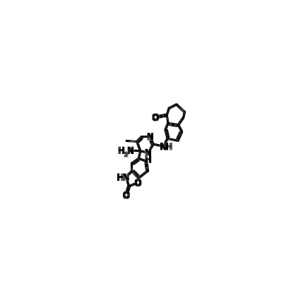 CC1=CN=C(Nc2ccc3c(c2)C(=O)CCCC3)NC1(N)c1ccc2oc(=O)[nH]c2c1